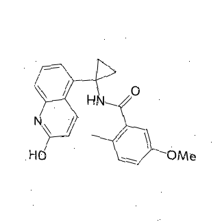 COc1ccc(C)c(C(=O)NC2(c3cccc4nc(O)ccc34)CC2)c1